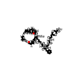 C=C1C[C@@H]2CC[C@@]34CC5OC6C(O[C@H]7CC[C@H](CC(=O)C[C@@H]8[C@@H](OC)[C@@H](C[C@H](O)CNC(=O)CNC(=O)[C@H](Cc9ccccc9)NC(=O)CNC(=O)CNC(=O)CCC9COCC(C(=O)CCCC)COC9)O[C@H]8C[C@H]8O[C@@H](CC[C@@H]1O2)C[C@@H](C)C8=C)O[C@@H]7[C@@H]6O3)[C@H]5O4